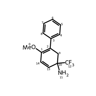 COC1=C(c2ccccc2)CC(N)(C(F)(F)F)C=C1